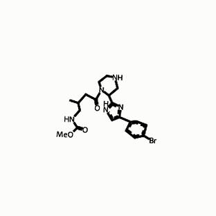 COC(=O)NCC(C)CC(=O)N1CCNCC1c1nc(-c2ccc(Br)cc2)c[nH]1